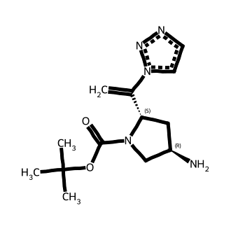 C=C([C@@H]1C[C@@H](N)CN1C(=O)OC(C)(C)C)n1ccnn1